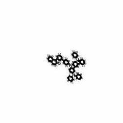 c1ccc(N(c2ccccc2)c2ccc3c(c2)c2cc4c5ccccc5n(-c5ccccc5)c4cc2n3-c2ccc(-c3cccc4c3sc3ccc5ccccc5c34)cc2)cc1